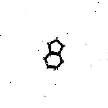 [CH]1N=CCC2=C1CCC2